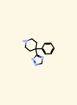 c1ccc(C2(C3=NCN=N3)CCNCC2)cc1